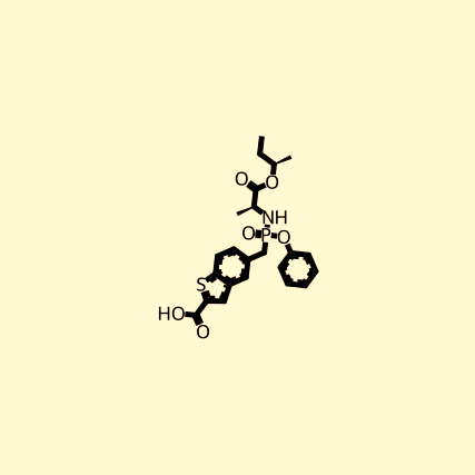 CC[C@@H](C)OC(=O)[C@H](C)NP(=O)(Cc1ccc2sc(C(=O)O)cc2c1)Oc1ccccc1